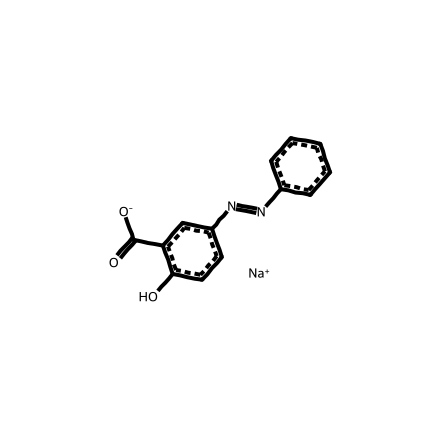 O=C([O-])c1cc(N=Nc2ccccc2)ccc1O.[Na+]